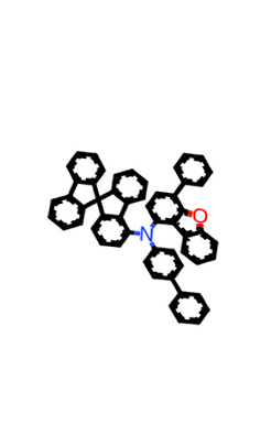 c1ccc(-c2ccc(N(c3cccc4c3-c3ccccc3C43c4ccccc4-c4ccccc43)c3ccc(-c4ccccc4)c4oc5ccccc5c34)cc2)cc1